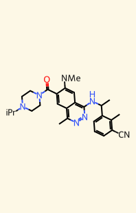 CNc1cc2c(NC(C)c3cccc(C#N)c3C)nnc(C)c2cc1C(=O)N1CCN(C(C)C)CC1